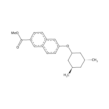 COC(=O)c1ccc2cc(OC3C[C@H](C)C[C@@H](C)C3)ccc2c1